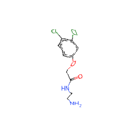 NCCNC(=O)COc1ccc(Cl)c(Cl)c1